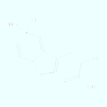 Oc1cc2c(cc1Cl)C1=CC(O)(Cl)C=CC1O2